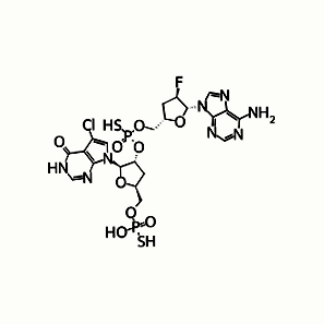 Nc1ncnc2c1ncn2[C@@H]1O[C@H](COP(=O)(S)O[C@@H]2C[C@@H](COP(=O)(O)S)O[C@H]2n2cc(Cl)c3c(=O)[nH]cnc32)C[C@H]1F